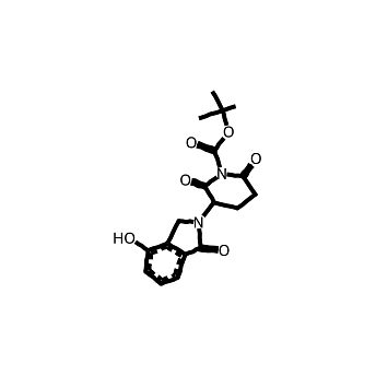 CC(C)(C)OC(=O)N1C(=O)CCC(N2Cc3c(O)cccc3C2=O)C1=O